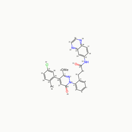 COc1nn(-c2ccccc2CCC(=O)Nc2ccc3nccnc3c2)c(=O)cc1-c1cc(Cl)ccc1C(C)=O